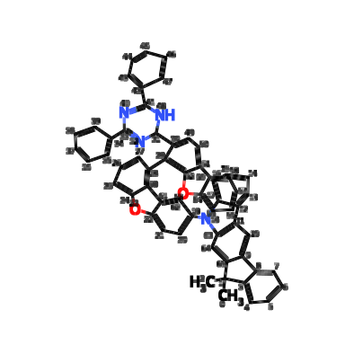 CC1(C)c2ccccc2-c2cc3c4ccccc4n(-c4ccc5oc6cccc(-c7c(C8N=C(c9ccccc9)N=C(c9ccccc9)N8)ccc8c7oc7ccccc78)c6c5c4)c3cc21